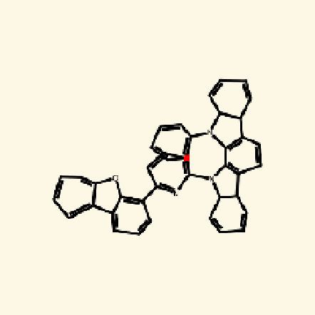 C1=CC2c3ccc4c(c3N(c3ccccc3)C2C=C1)N(c1cccc(-c2cccc3c2oc2ccccc23)n1)C1C=CC=CC41